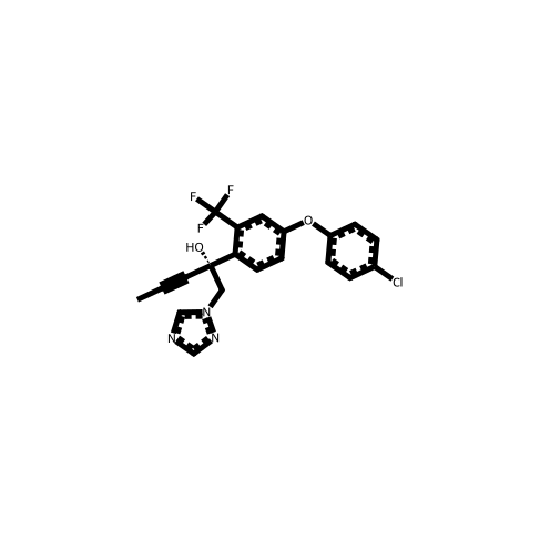 CC#C[C@](O)(Cn1cncn1)c1ccc(Oc2ccc(Cl)cc2)cc1C(F)(F)F